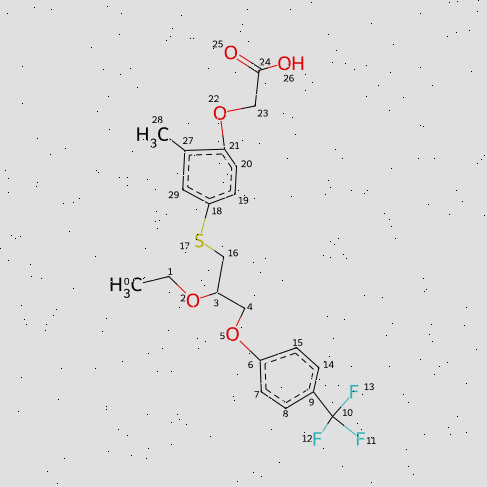 CCOC(COc1ccc(C(F)(F)F)cc1)CSc1ccc(OCC(=O)O)c(C)c1